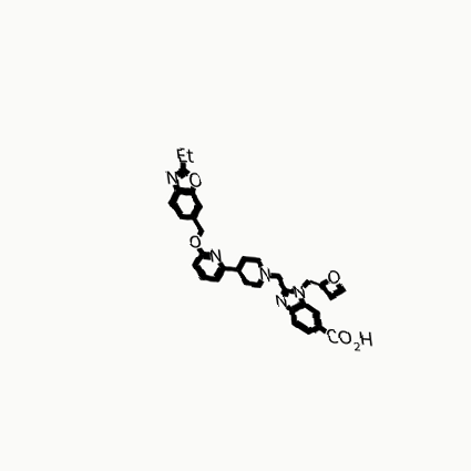 CCc1nc2ccc(COc3cccc(C4CCN(Cc5nc6ccc(C(=O)O)cc6n5C[C@@H]5CCO5)CC4)n3)cc2o1